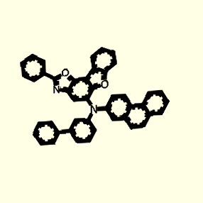 c1ccc(-c2cccc(N(c3ccc4c(ccc5ccccc54)c3)c3cc4nc(-c5ccccc5)oc4c4c3oc3ccccc34)c2)cc1